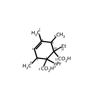 CCCC1(C(=O)O)C(C)C=C(C)C(C)C1(CC)C(=O)O